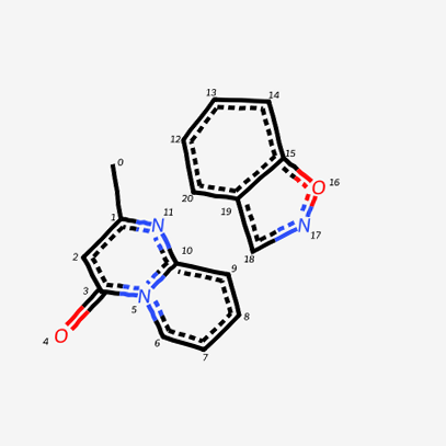 Cc1cc(=O)n2ccccc2n1.c1ccc2oncc2c1